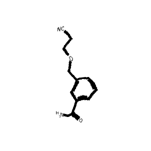 N#C[CH]COCc1cccc(C(N)=O)c1